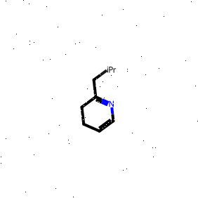 CC(C)CC1=NC=CCC1